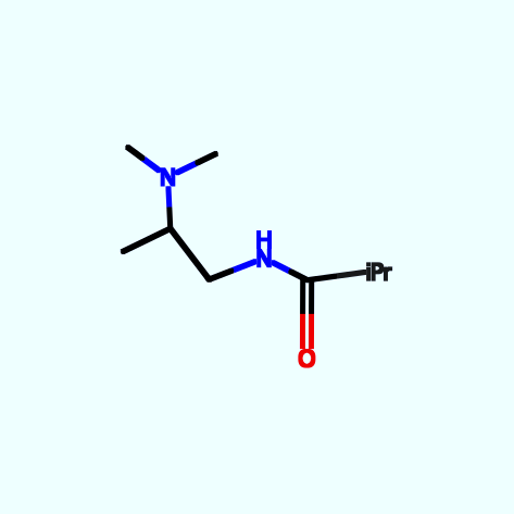 CC(C)C(=O)NCC(C)N(C)C